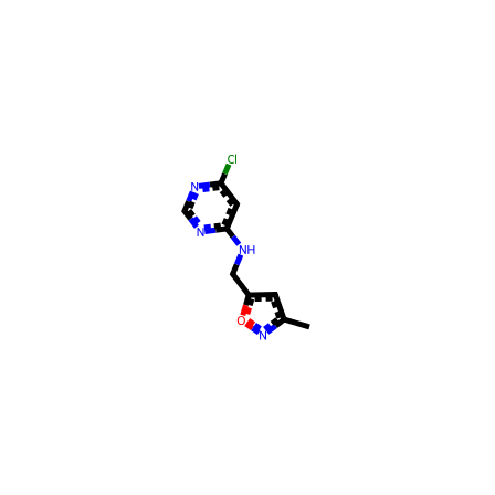 Cc1cc(CNc2cc(Cl)ncn2)on1